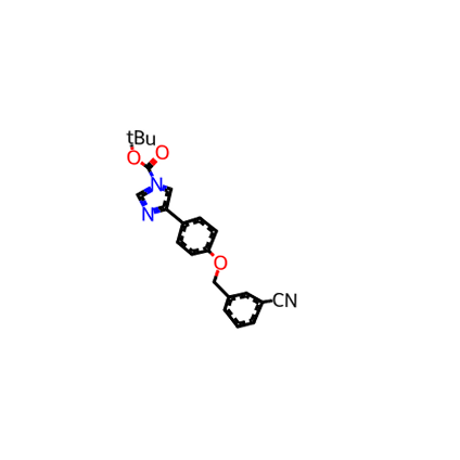 CC(C)(C)OC(=O)n1cnc(-c2ccc(OCc3cccc(C#N)c3)cc2)c1